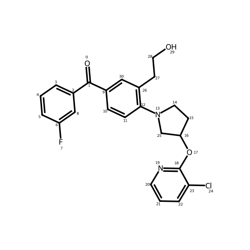 O=C(c1cccc(F)c1)c1ccc(N2CCC(Oc3ncccc3Cl)C2)c(CCO)c1